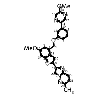 COc1cc(COc2cccc(-c3cnc(OC)cn3)c2)c2cc(-c3cn4nc(C)ccc4n3)oc2c1